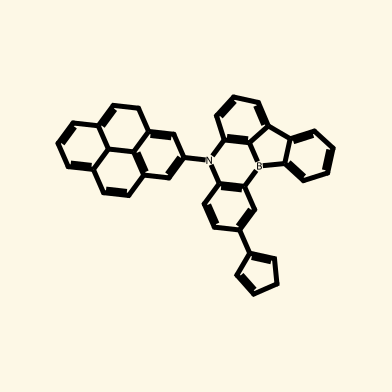 C1=CC2=CCc3cc(N4c5ccc(C6=CCC=C6)cc5B5c6ccccc6-c6cccc4c65)cc4c3C2C(=C1)C=C4